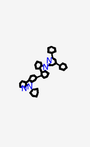 c1ccc(-c2cc(-c3ccccc3)nc(-n3c4ccccc4c4c(-c5ccc6c7cccnc7n(-c7ccccc7)c6c5)cccc43)c2)cc1